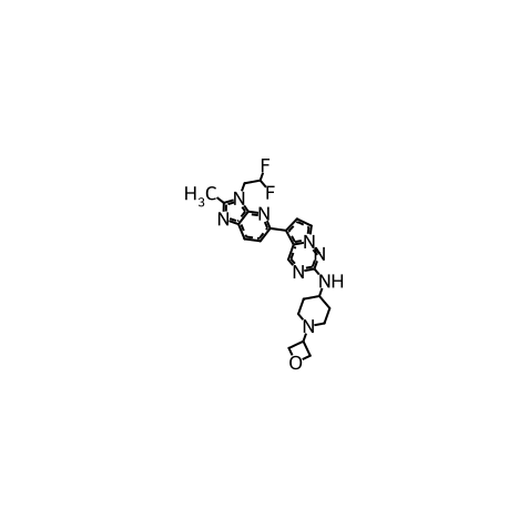 Cc1nc2ccc(-c3ccn4nc(NC5CCN(C6COC6)CC5)ncc34)nc2n1CC(F)F